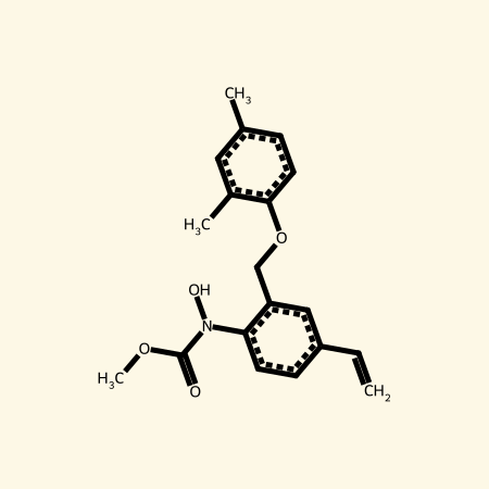 C=Cc1ccc(N(O)C(=O)OC)c(COc2ccc(C)cc2C)c1